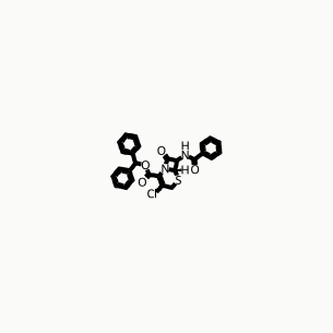 O=C(OC(c1ccccc1)c1ccccc1)C1=C(Cl)CS[C@H]2C(NC(=O)c3ccccc3)C(=O)N12